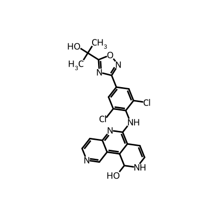 CC(C)(O)c1nc(-c2cc(Cl)c(Nc3nc4ccncc4c4c3C=CNC4O)c(Cl)c2)no1